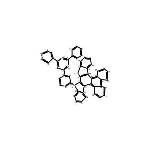 c1ccc(-c2nc(-c3ccccc3)nc(-c3cccc(-n4c5ccccc5c5c6c7ccccc7c7ccccc7c6c6c7ccccc7oc6c54)c3)n2)cc1